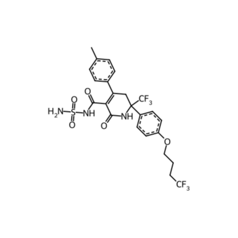 Cc1ccc(C2=C(C(=O)NS(N)(=O)=O)C(=O)NC(c3ccc(OCCCC(F)(F)F)cc3)(C(F)(F)F)C2)cc1